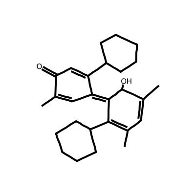 CC1=CC(=C2C(C3CCCCC3)=C(C)C=C(C)C2O)C(C2CCCCC2)=CC1=O